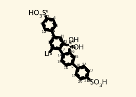 [Li][c]1cc(-c2ccc(S(=O)(=O)O)cc2)cc2c1-c1ccc(-c3ccc(S(=O)(=O)O)cc3)cc1S2(O)O